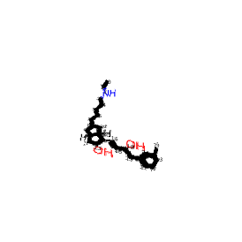 CCNCCCCCC1=C[C@H]2C[C@@H](O)[C@H](/C=C/[C@H](O)Cc3cccc(C)c3)[C@H]2C1